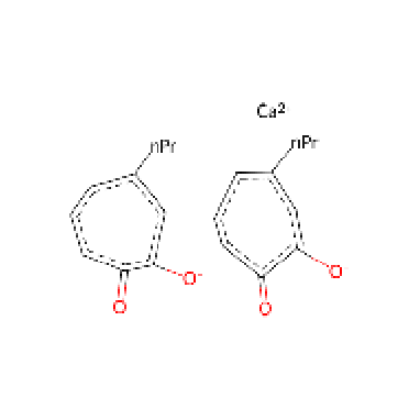 CCCc1cccc(=O)c([O-])c1.CCCc1cccc(=O)c([O-])c1.[Ca+2]